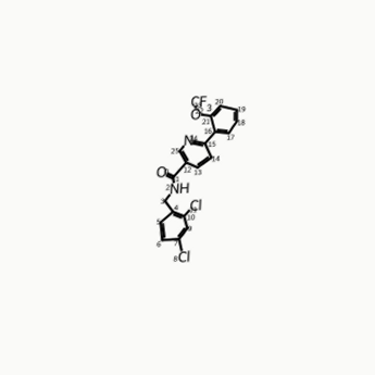 O=C(NCc1ccc(Cl)cc1Cl)c1ccc(-c2ccccc2OC(F)(F)F)nc1